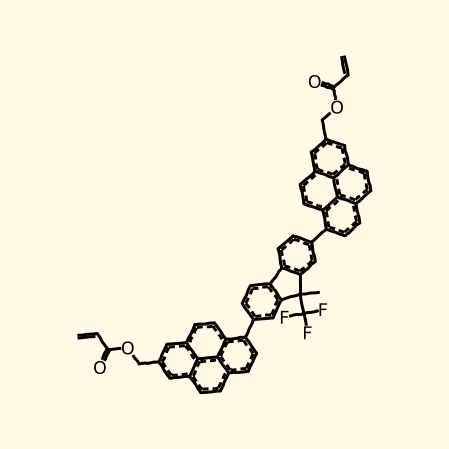 C=CC(=O)OCc1cc2ccc3ccc(-c4ccc5c(c4)C(C)(C(F)(F)F)c4cc(-c6ccc7ccc8cc(COC(=O)C=C)cc9ccc6c7c89)ccc4-5)c4ccc(c1)c2c34